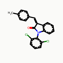 Cc1ccc(C=C2C(=O)N(c3c(Cl)cccc3Cl)c3ccccc32)cc1